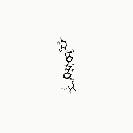 CN(CCOc1cccc(C(F)(F)C(=O)N(C)c2ccc3c(c2)CN(C2CCC(=O)NC2=O)C3=O)c1)C(=O)OC(C)(C)C